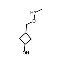 OC1CC(COPI)C1